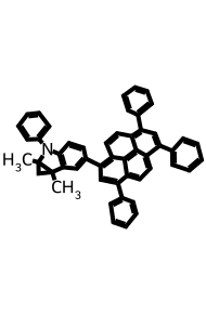 CC12CC1(C)N(c1ccccc1)c1ccc(-c3cc(-c4ccccc4)c4ccc5c(-c6ccccc6)cc(-c6ccccc6)c6ccc3c4c56)cc12